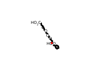 O=C(O)CCCOCCOCCOCCOCCC(O)OCc1ccccc1